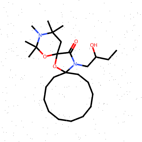 CCC(O)CN1C(=O)C2(CC(C)(C)N(C)C(C)(C)O2)OC12CCCCCCCCCCC2